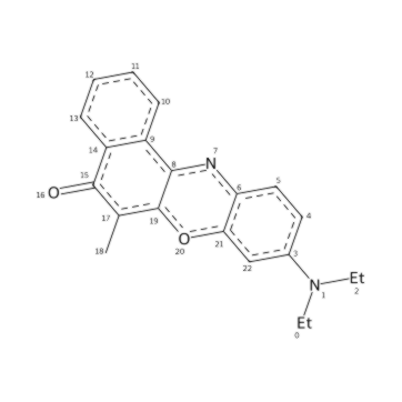 CCN(CC)c1ccc2nc3c4ccccc4c(=O)c(C)c-3oc2c1